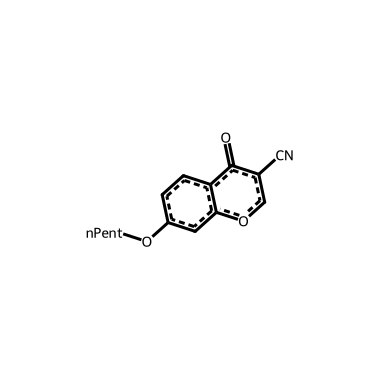 CCCCCOc1ccc2c(=O)c(C#N)coc2c1